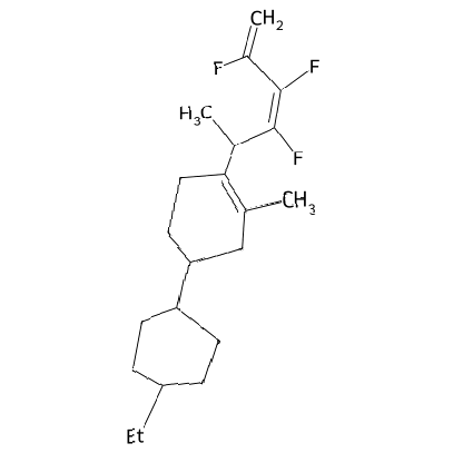 C=C(F)/C(F)=C(/F)C(C)C1=C(C)CC(C2CCC(CC)CC2)CC1